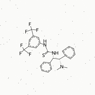 CN(C)[C@@H](c1ccccc1)[C@@H](NC(=S)Nc1cc(C(F)(F)F)cc(C(F)(F)F)c1)c1ccccc1